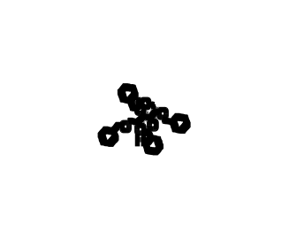 OC[C@H](OCc1ccccc1)[C@@H](OCc1ccccc1)[C@@H](OCc1ccccc1)[C@H](O)COCc1ccccc1